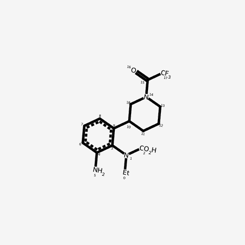 CCN(C(=O)O)c1c(N)cccc1C1CCCN(C(=O)C(F)(F)F)C1